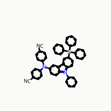 [C-]#[N+]c1ccc(N(c2ccc(C#N)cc2)c2ccc3c(c2)c2cc([Si](c4ccccc4)(c4ccccc4)c4ccccc4)ccc2n3-c2ccccc2)cc1